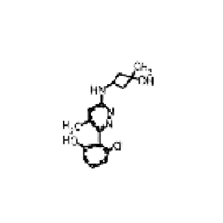 Cc1cc(NC2CC(C)(O)C2)nnc1-c1c(O)cccc1Cl